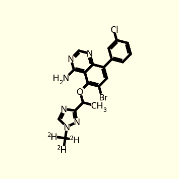 [2H]C([2H])([2H])n1cnc(C(C)Oc2c(Br)cc(-c3cccc(Cl)c3)c3ncnc(N)c23)n1